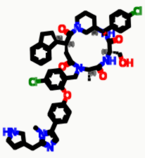 C[C@H]1C(=O)N[C@@H](CO)C(=O)N[C@@]2(Cc3ccc(Cl)cc3)CCCN(C2)C(=O)[C@H]([C@@H]2CCc3ccccc32)CC(=O)N1Cc1ccc(Cl)cc1Oc1ccc(-c2cnc(CC3=CCNC3)n2C)cc1